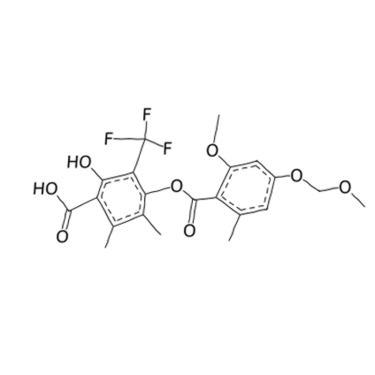 COCOc1cc(C)c(C(=O)Oc2c(C)c(C)c(C(=O)O)c(O)c2C(F)(F)F)c(OC)c1